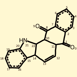 O=C1c2ccccc2C(=O)C2C1C=CC1c3ccccc3NC12